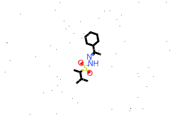 C/C(=N\NS(=O)(=O)C(C)C(C)C)C1CCCCC1